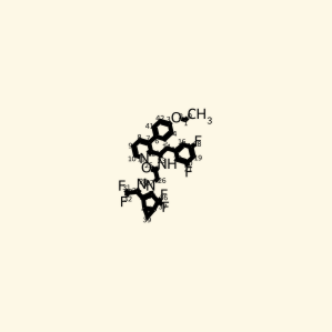 CCOc1ccc(-c2cccnc2C(Cc2cc(F)cc(F)c2)NC(=O)Cn2nc(C(F)F)c3c2C(F)(F)C2CC32)cc1